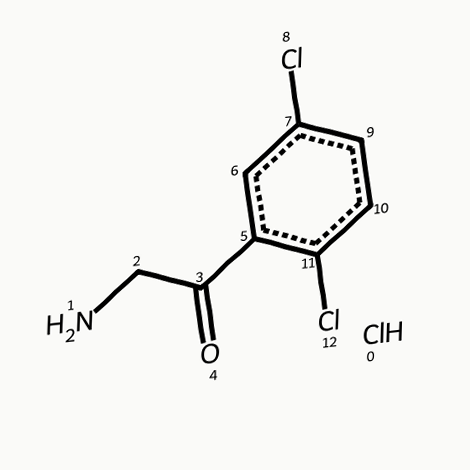 Cl.NCC(=O)c1cc(Cl)ccc1Cl